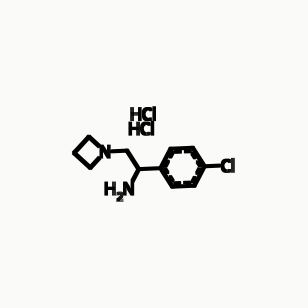 Cl.Cl.NC(CN1CCC1)c1ccc(Cl)cc1